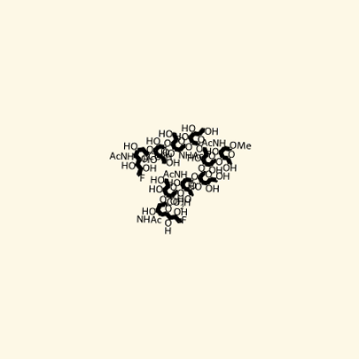 COC1OC(CO)C(OC2OC(COC3OC(CO)C(O)C(O)C3OC3OC(CO)C(OC4OC(CO)C(O)C(OC5(C(=O)O)CC(O)C(NC(C)=O)C([C@H](O)[C@H](O)CF)O5)C4O)C(O)C3NC(C)=O)C(O)C(OC3OC(CO)C(O)C(O)C3OC3OC(CO)C(OC4OC(CO)C(O)C(OC5(C(=O)O)CC(O)C(NC(C)=O)C([C@H](O)[C@H](O)CF)O5)C4O)C(O)C3NC(C)=O)C2O)C(O)C1NC(C)=O